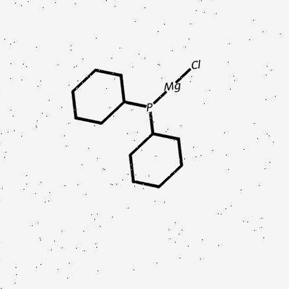 [Cl][Mg][P](C1CCCCC1)C1CCCCC1